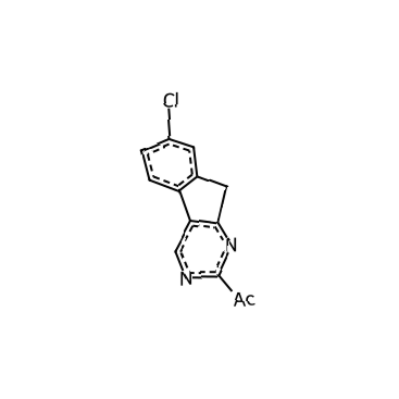 CC(=O)c1ncc2c(n1)Cc1cc(Cl)ccc1-2